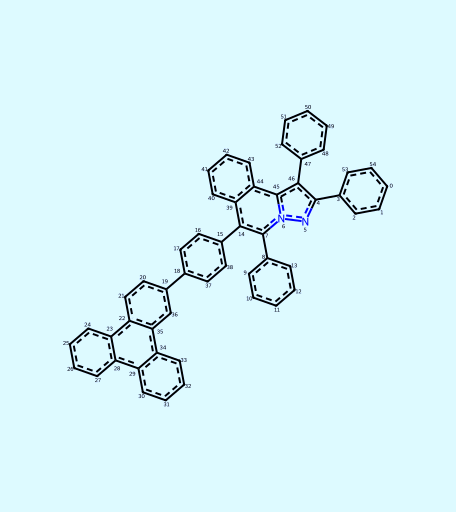 c1ccc(-c2nn3c(-c4ccccc4)c(-c4ccc(-c5ccc6c7ccccc7c7ccccc7c6c5)cc4)c4ccccc4c3c2-c2ccccc2)cc1